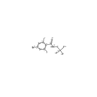 Cc1cc(Br)cc(C)c1C(=O)NCC(F)(F)F